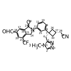 Cn1cnnc1C[C@]1(c2cccc(N3Cc4c(cc(C=O)cc4C(F)(F)F)C3=O)c2)C[C@H](CC#N)C1